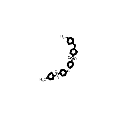 Cc1ccc(Cc2ccc(S(=O)(=O)c3ccc(Oc4ccc(S(=O)(=O)c5ccc(C)cc5)cc4)cc3)cc2)cc1